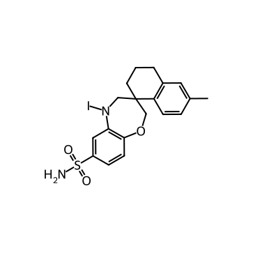 Cc1ccc2c(c1)CCCC21COc2ccc(S(N)(=O)=O)cc2N(I)C1